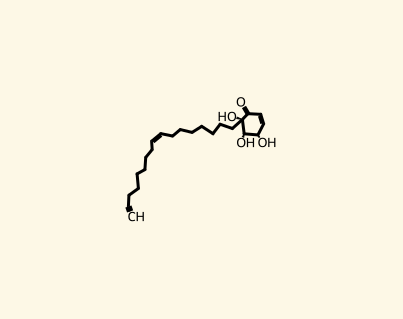 C#CCCCCCC/C=C\CCCCCCC[C@]1(O)C(=O)C=C[C@H](O)[C@H]1O